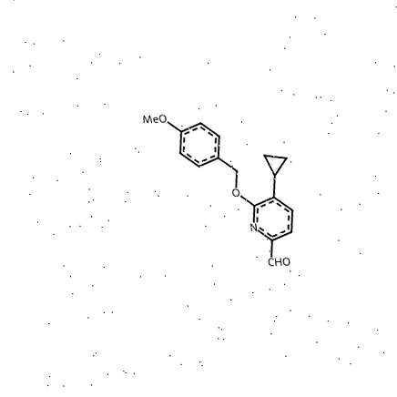 COc1ccc(COc2nc(C=O)ccc2C2CC2)cc1